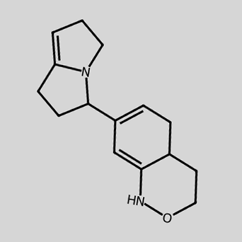 C1=C2NOCCC2CC=C1C1CCC2=CCCN21